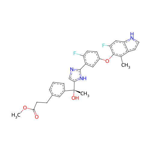 COC(=O)CCc1cccc([C@@](C)(O)c2cnc(-c3cc(Oc4c(F)cc5[nH]ccc5c4C)ccc3F)[nH]2)c1